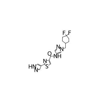 O=C(Nc1cnn(CC2CCC(F)(F)CC2)c1)c1csc(-c2cn[nH]c2)n1